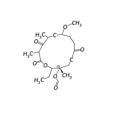 CCC1OC(=O)C(C)C(=O)C(C)CC(OC)CCC(=O)CC[C@]1(C)OC=O